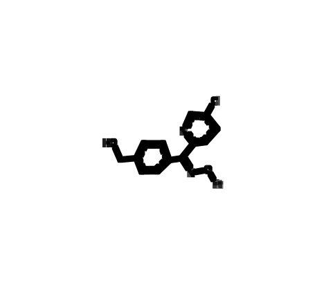 CCO/N=C(/c1ccc(CO)cc1)c1ccc(Cl)cn1